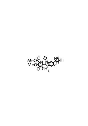 COC(=O)c1nc(-c2nc3cc(F)c(-c4nn[nH]n4)cc3n2C2CCC2)n(C)c(=O)c1OC